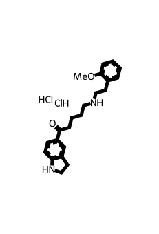 COc1ccccc1CCNCCCCC(=O)c1ccc2c(c1)CCN2.Cl.Cl